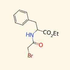 CCOC(=O)C(Cc1ccccc1)NC(=O)CBr